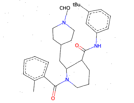 Cc1ccccc1C(=O)N1CCCC(C(=O)Nc2cccc(C(C)(C)C)c2)C1CC1CCN(C=O)CC1